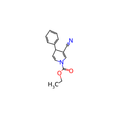 CCOC(=O)N1C=CC(c2ccccc2)C(C#N)=C1